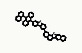 c1ccc2cc3c(cc2c1)sc1c2cc(-c4ccc5sc6cc(-c7c8ccccc8c(-c8cccc9ccccc89)c8ccccc78)ccc6c5c4)ccc2ccc31